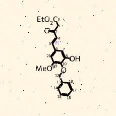 CCOC(=O)CC(=O)/C=C/c1cc(O)c(OCc2ccccc2)c(OC)c1